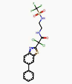 O=C(NCCNS(=O)(=O)C(F)(F)F)C(Cl)(Cl)c1nc2ccc(-c3ccccc3)cc2s1